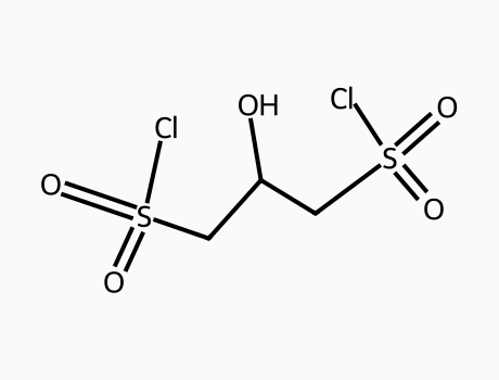 O=S(=O)(Cl)CC(O)CS(=O)(=O)Cl